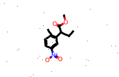 CCC(C(=O)OC)c1cc([N+](=O)[O-])ccc1C